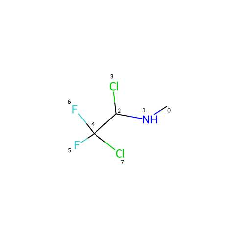 CNC(Cl)C(F)(F)Cl